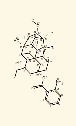 CCN1C[C@]2(OC(=O)c3ccccc3N)CC[C@H](OC)C34[C@@H]1C(C[C@@H]32)[C@@]1(O)C[C@H](OC)[C@H]2C[C@@H]4[C@]1(O)C2